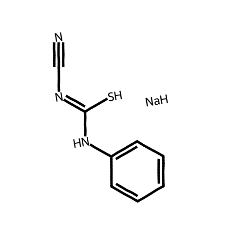 N#CN=C(S)Nc1ccccc1.[NaH]